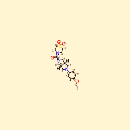 CCOc1ccc(N2C[C@H]3CN(C(=O)N4CCS(=O)(=O)CC4)C[C@H]3C2)cc1